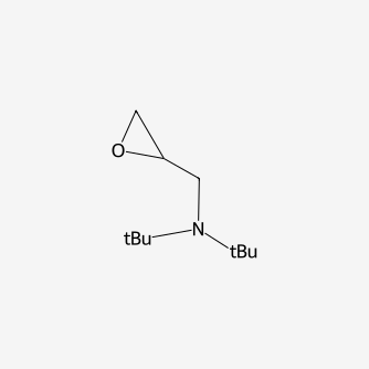 CC(C)(C)N(CC1CO1)C(C)(C)C